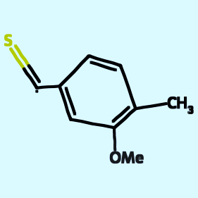 COc1cc([C]=S)ccc1C